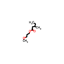 CCC(C)CC(=O)OCCCOC